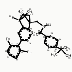 CCN(C[C@@]12CC[C@@H](c3cc(-c4c(F)cccc4F)nnc31)C2(C)C)C(=O)c1cnc(C(C)(C)O)cn1